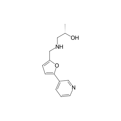 C[C@H](O)CNCc1ccc(-c2cccnc2)o1